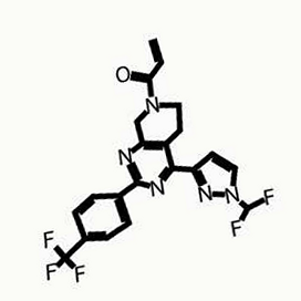 C=CC(=O)N1CCc2c(nc(-c3ccc(C(F)(F)F)cc3)nc2-c2ccn(C(F)F)n2)C1